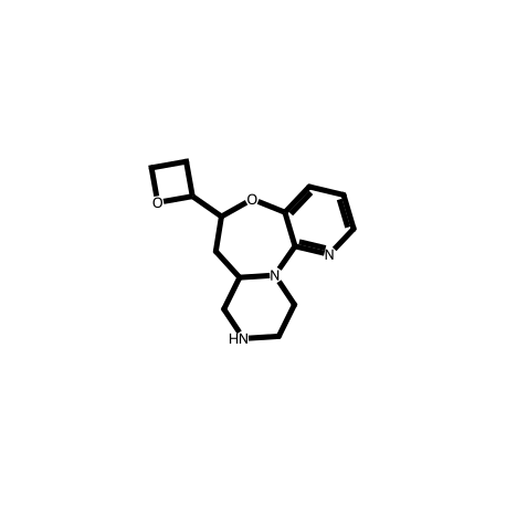 c1cnc2c(c1)OC(C1CCO1)CC1CNCCN21